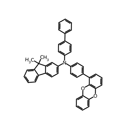 CC1(C)c2ccccc2-c2ccc(N(c3ccc(-c4ccccc4)cc3)c3ccc(-c4cccc5c4Oc4ccccc4O5)cc3)cc21